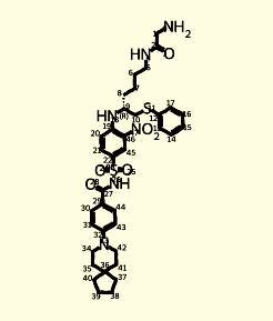 NCC(=O)NCCCC[C@H](CSc1ccccc1)Nc1ccc(S(=O)(=O)NC(=O)c2ccc(N3CCC4(CCCC4)CC3)cc2)cc1[N+](=O)[O-]